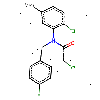 COc1ccc(Cl)c(N(Cc2ccc(F)cc2)C(=O)CCl)c1